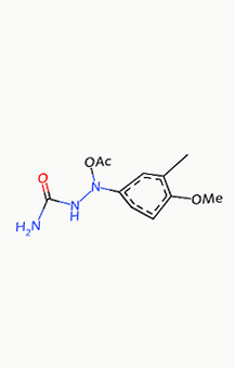 COc1ccc(N(NC(N)=O)OC(C)=O)cc1C